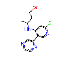 C[C@@H](CCO)Nc1cc(Cl)ncc1-c1cnccn1